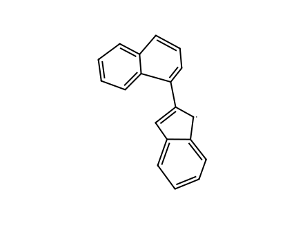 [CH]1C(c2cccc3ccccc23)=Cc2ccccc21